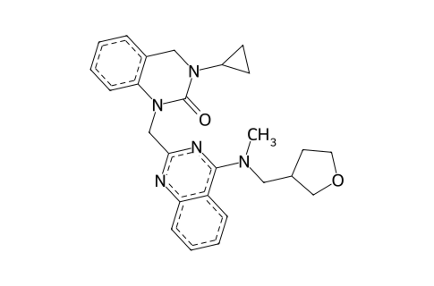 CN(CC1CCOC1)c1nc(CN2C(=O)N(C3CC3)Cc3ccccc32)nc2ccccc12